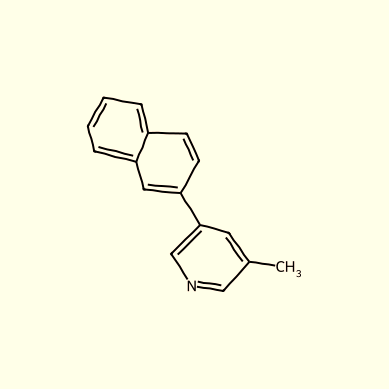 Cc1cncc(-c2ccc3ccccc3c2)c1